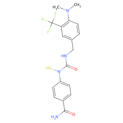 CN(C)c1ccc(CNC(=O)N(S)c2ccc(C(N)=O)cc2)cc1C(F)(F)F